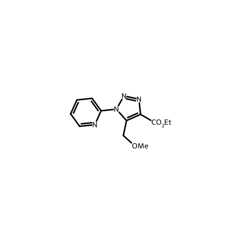 CCOC(=O)c1nnn(-c2ccccn2)c1COC